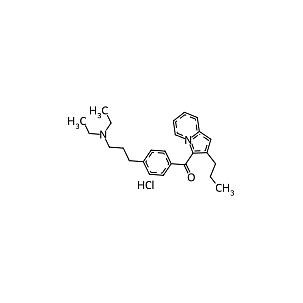 CCCc1cc2ccccn2c1C(=O)c1ccc(CCCN(CC)CC)cc1.Cl